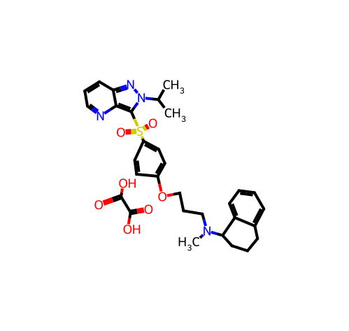 CC(C)n1nc2cccnc2c1S(=O)(=O)c1ccc(OCCCN(C)C2CCCc3ccccc32)cc1.O=C(O)C(=O)O